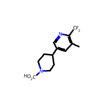 Cc1cc(C2CCN(C(=O)O)CC2)cnc1C(F)(F)F